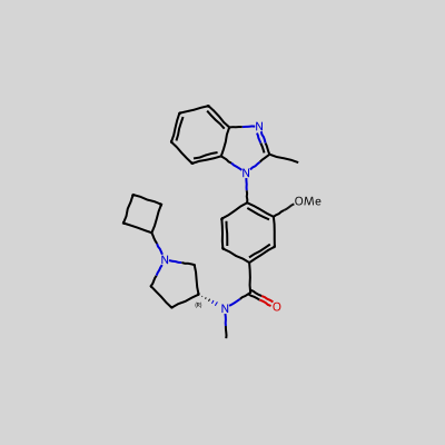 COc1cc(C(=O)N(C)[C@@H]2CCN(C3CCC3)C2)ccc1-n1c(C)nc2ccccc21